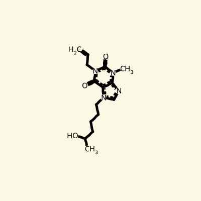 C=CCn1c(=O)c2c(ncn2CCCCC(C)O)n(C)c1=O